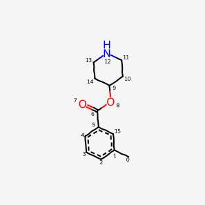 Cc1cccc(C(=O)OC2CCNCC2)c1